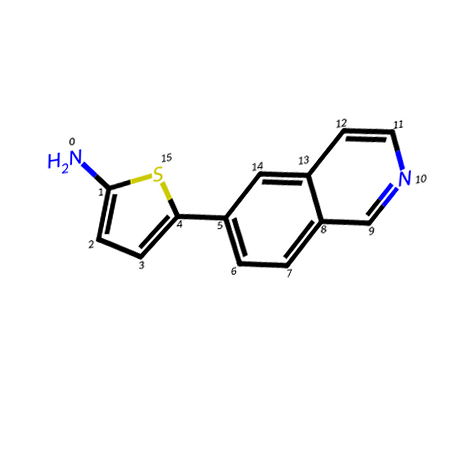 Nc1ccc(-c2ccc3cnccc3c2)s1